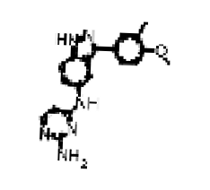 COc1ccc(-c2n[nH]c3ccc(Nc4ccnc(N)n4)cc23)cc1C